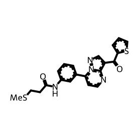 CSCCC(=O)Nc1cccc(-c2ccnc3c(C(=O)c4cccs4)cnn23)c1